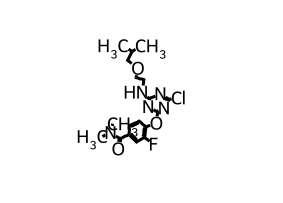 CC(C)COCCNc1nc(Cl)nc(Oc2ccc(C(=O)N(C)C)cc2F)n1